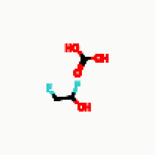 O=C(O)O.OC(F)CF